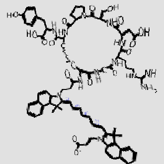 CC1(C)C(/C=C/C=C/C=C/C=C2/N(CCC(=O)NC3CSSCC(C(=O)NC(Cc4ccc(O)cc4)C(=O)O)NC(=O)C4CCCN4C(=O)C(CO)NC(=O)C(CC(=O)O)NC(=O)C(CCCNC(=N)N)NC(=O)CNC3=O)c3ccc4ccccc4c3C2(C)C)=[N+](CCC(=O)[O-])c2ccc3ccccc3c21